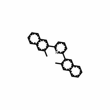 Cc1cc2ccccc2cc1-c1cccc(-c2cc3ccccc3cc2C)n1